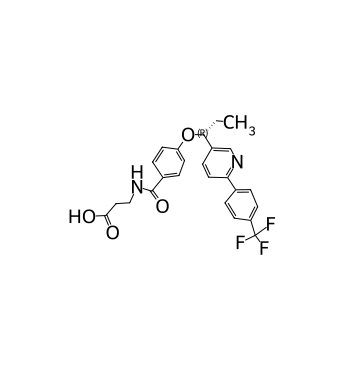 CC[C@@H](Oc1ccc(C(=O)NCCC(=O)O)cc1)c1ccc(-c2ccc(C(F)(F)F)cc2)nc1